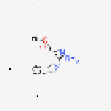 CC(C)(C)OC(=O)/C=C/c1cnc(N)c(CN2CCC(Cc3ccccc3)CC2)c1